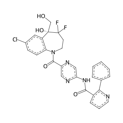 O=C(Nc1cnc(C(=O)N2CCC(F)(F)[C@](O)(CO)c3cc(Cl)ccc32)cn1)c1cccnc1-c1ccccc1